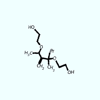 C=C(C(C)OCCO)C(C)(OCCO)C(C)C